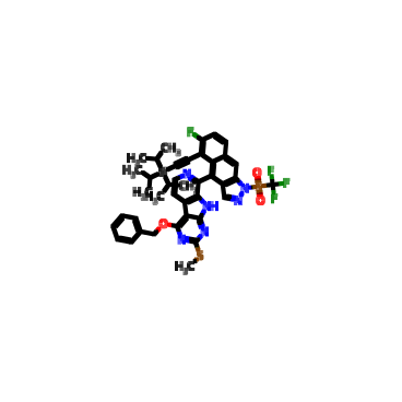 CSc1nc(OCc2ccccc2)c2c(n1)[nH]c1c(-c3c4cnn(S(=O)(=O)C(F)(F)F)c4cc4ccc(F)c(C#C[Si](C(C)C)(C(C)C)C(C)C)c34)nccc12